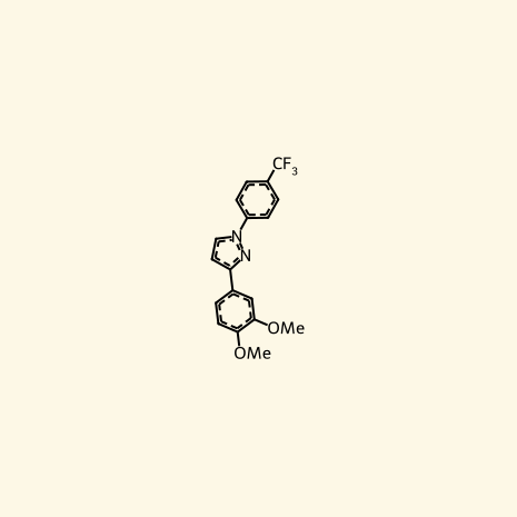 COc1ccc(-c2ccn(-c3ccc(C(F)(F)F)cc3)n2)cc1OC